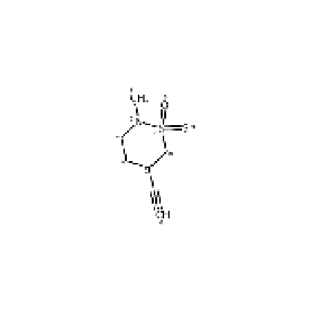 C#CC1CCN(C)S(=O)(=S)C1